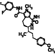 COc1ccc(CC[C@H](C)[C@H]2CCc3c(cn(C)c3C(=O)Nc3ccc(F)c(F)c3)S(=N)(=O)N2)cc1